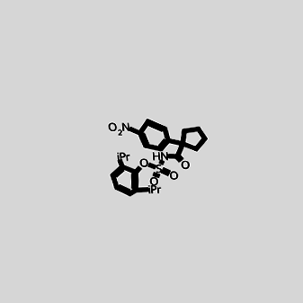 CC(C)c1cccc(C(C)C)c1OS(=O)(=O)NC(=O)C1(c2ccc([N+](=O)[O-])cc2)CCCC1